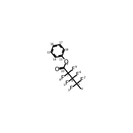 CC(F)(F)C(F)(F)C(F)(F)C(=O)Oc1ccccc1